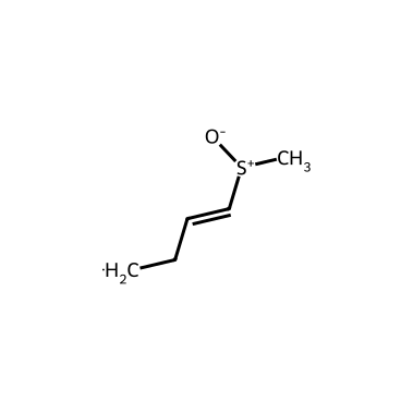 [CH2]C/C=C/[S+](C)[O-]